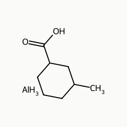 CC1CCCC(C(=O)O)C1.[AlH3]